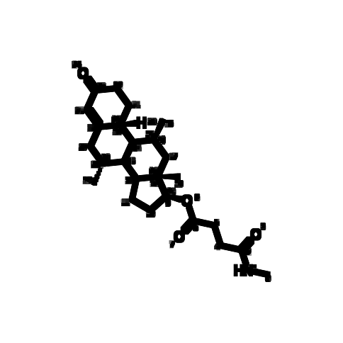 CNC(=O)CCC(=O)O[C@H]1CCC2C3C([C@@H](C)C[C@@]21C)[C@H]1CCC(=O)C=C1C[C@H]3C